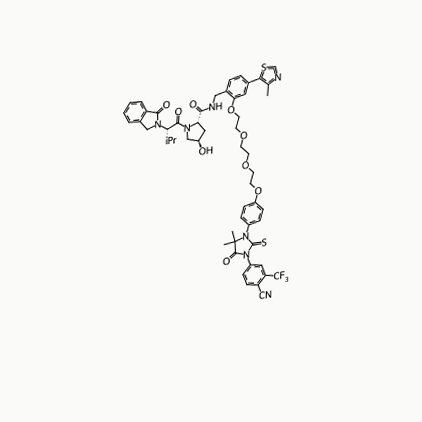 Cc1ncsc1-c1ccc(CNC(=O)[C@@H]2C[C@@H](O)CN2C(=O)[C@H](C(C)C)N2Cc3ccccc3C2=O)c(OCCOCCOCCOc2ccc(N3C(=S)N(c4ccc(C#N)c(C(F)(F)F)c4)C(=O)C3(C)C)cc2)c1